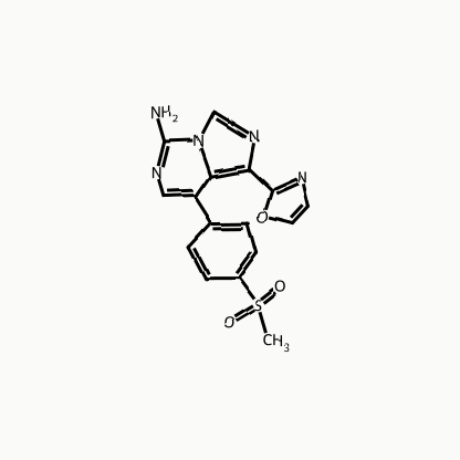 CS(=O)(=O)c1ccc(-c2cnc(N)n3cnc(-c4ncco4)c23)cc1